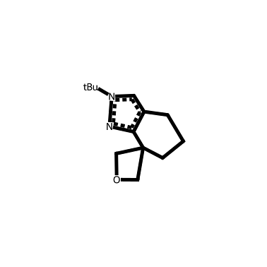 CC(C)(C)n1cc2c(n1)C1(CCC2)COC1